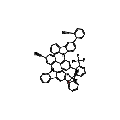 N#Cc1ccc(-c2ccc(-c3c(C(F)(F)F)cccc3C(F)(F)F)cc2-n2c3ccccc3c3cc(-c4ccccc4C#N)ccc32)c(-n2c3ccccc3c3cc(-c4ccccc4C#N)ccc32)c1